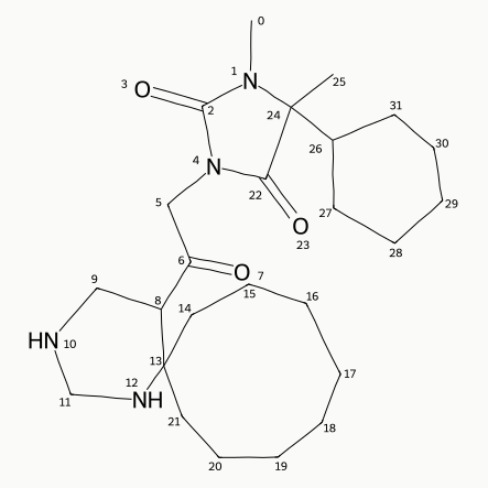 CN1C(=O)N(CC(=O)C2CNCNC23CCCCCCCC3)C(=O)C1(C)C1CCCCC1